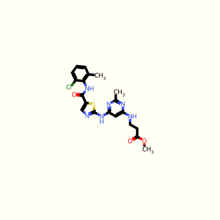 COC(=O)CCNc1cc(Nc2ncc(C(=O)Nc3c(C)cccc3Cl)s2)nc(C)n1